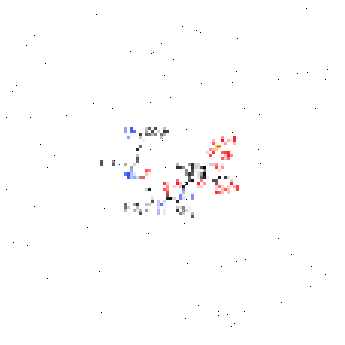 CC(=O)NC1C(OP(=O)(O)O)OC(CO)C(O)C1OC(C)C(=O)NC(C)C(=O)NC(CCC(=O)NC(CCCC(N)C(=O)O)C(=O)O)C(=O)O